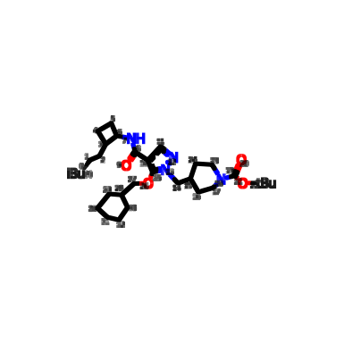 CC[C@H](C)CCC1CCC1NC(=O)c1cnn(CC2CCN(C(=O)OC(C)(C)C)CC2)c1OCC1CCCCC1